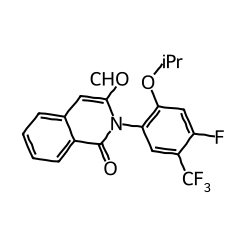 CC(C)Oc1cc(F)c(C(F)(F)F)cc1-n1c(C=O)cc2ccccc2c1=O